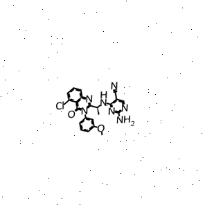 COc1cccc(-n2c([C@H](C)Nc3nc(N)ncc3C#N)nc3cccc(Cl)c3c2=O)c1